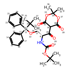 CC(C)(C)OC(=O)N[C@H](CO[Si](c1ccccc1)(c1ccccc1)C(C)(C)C)C(=O)C1C(=O)OC(C)(C)OC1=O